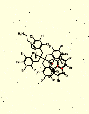 NCCNCCNC(Cc1ccc(Cl)c(Cl)c1Cl)(Cc1c(Br)c(Br)c(Br)c(Br)c1Br)C(Cc1c(Br)c(Br)c(Br)c(Br)c1Br)(Cc1c(Br)c(Br)c(Br)c(Br)c1Br)N(Cc1c(Br)c(Br)c(Br)c(Br)c1Br)Cc1c(Br)c(Br)c(Br)c(Br)c1Br